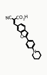 N#C/C(=C/c1ccc2cc(-c3ccc(N4CCCCC4)cc3)oc2c1)C(=O)O